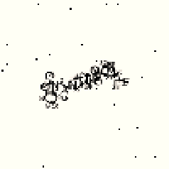 O=C(Cn1c(=O)oc2ccccc21)N1Cc2cn(S(=O)(=O)c3cnn(CC(F)F)c3)nc2C1